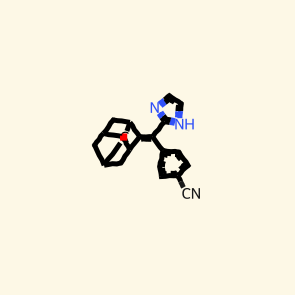 N#Cc1ccc(C(=C2C3CC4CC(C3)CC2C4)c2ncc[nH]2)cc1